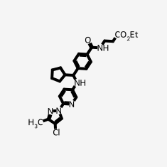 CCOC(=O)CCNC(=O)c1ccc(C(Nc2ccc(-n3cc(Cl)c(C)n3)nc2)C2CCCC2)cc1